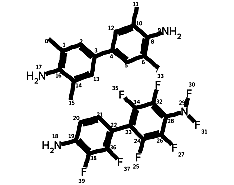 Cc1cc(-c2cc(C)c(N)c(C)c2)cc(C)c1N.Nc1ccc(-c2c(F)c(F)c(N(F)F)c(F)c2F)c(F)c1F